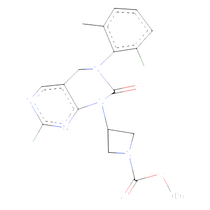 Cc1cccc(Cl)c1N1Cc2cnc(Cl)nc2N(C2CN(C(=O)OC(C)(C)C)C2)C1=O